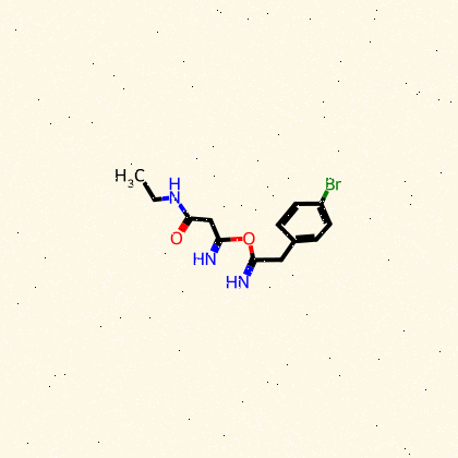 CCNC(=O)CC(=N)OC(=N)Cc1ccc(Br)cc1